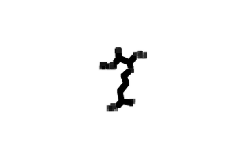 CCCCC(SCCCC(F)CCC)C(=O)OC